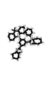 CC1(C)c2ccccc2N(c2cc(-c3nc4ccccc4s3)cc(-c3nc4ccccc4n3-c3ccccc3)c2)c2ccccc21